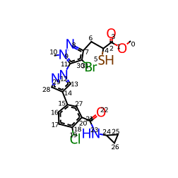 COC(=O)C(S)Cc1nn(C)c(-n2cc(-c3ccc(Cl)c(C(=O)NC4CC4)c3)cn2)c1Br